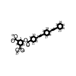 COC(=O)c1cc(OC(=O)c2ccc(C#Cc3ccc(C#Cc4ccccc4)cc3)cc2)cc(C(=O)OC)c1